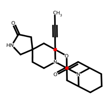 CC#CCOC(=O)N1C2C=C(N3CCC4(CC3)CNC(=O)C4)CC1CCC2